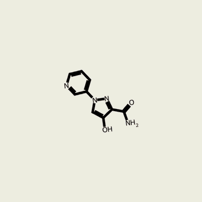 NC(=O)c1nn(-c2cccnc2)cc1O